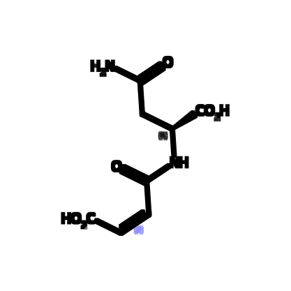 NC(=O)C[C@H](NC(=O)/C=C\C(=O)O)C(=O)O